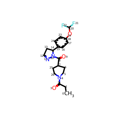 CCC(=O)N1CCC(C(=O)N2N=CCC2c2ccc(OC(F)F)cc2)CC1